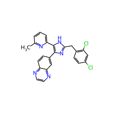 Cc1cccc(-c2[nH]c(Cc3ccc(Cl)cc3Cl)nc2-c2ccc3nccnc3c2)n1